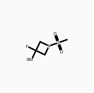 CC(C)(C)C1(F)CN(S(C)(=O)=O)C1